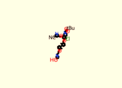 Cc1c(COc2cc(OCc3cncc(C#N)c3)c3c(c2Cl)CCN(CC(=O)OC(C)(C)C)C3)cccc1-c1cccc(OCCCN2CC[C@@H](O)C2)c1C